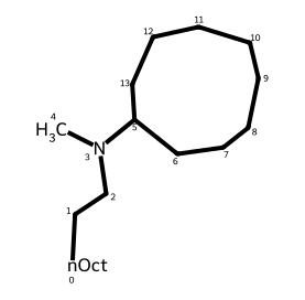 CCCCCCCCCCN(C)C1CCCCCCCC1